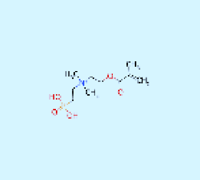 C=C(C)C(=O)OCC[N+](C)(C)CCP(=O)(O)O